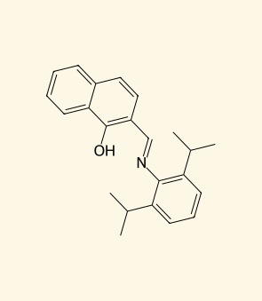 CC(C)c1cccc(C(C)C)c1N=Cc1ccc2ccccc2c1O